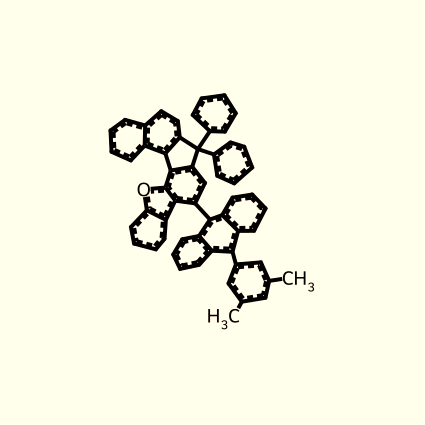 Cc1cc(C)cc(-c2c3ccccc3c(-c3cc4c(c5oc6ccccc6c35)-c3c(ccc5ccccc35)C4(c3ccccc3)c3ccccc3)c3ccccc23)c1